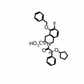 O=C(O)[C@H]1Cc2c(ccc(F)c2OCc2ccccc2)CN1C(=O)[C@H](OC1CCCC1)c1ccccc1